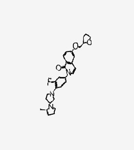 C[C@@H]1CCCN1C1CCN(c2ccc(-n3ccc4cc(OC[C@H]5CCCO5)ccc4c3=O)cc2F)C1